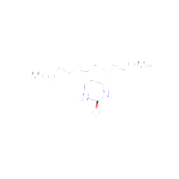 CN1CCCN(C)C1=O.COCCOCCOCCOC